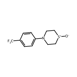 [O-][S+]1CCN(c2[c]cc(C(F)(F)F)cc2)CC1